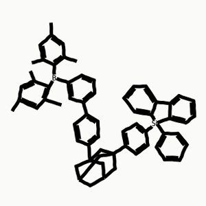 Cc1cc(C)c(B(c2cccc(-c3ccc(C45CC6CC(C4)CC(c4ccc([Si]7(c8ccccc8)c8ccccc8-c8ccccc87)cc4)(C6)C5)cc3)c2)c2c(C)cc(C)cc2C)c(C)c1